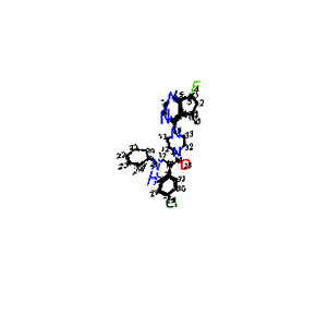 C[C@@H]1C[C@H](F)c2ncnc(N3CCN(C(=O)[C@H](CNC4CCCCC4)c4ccc(Cl)cc4)CC3)c21